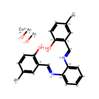 CC(=O)[O-].CC(=O)[O-].CC(C)c1ccc(O)c(C=Nc2ccccc2N=Cc2cc(C(C)C)ccc2O)c1.[Co+2]